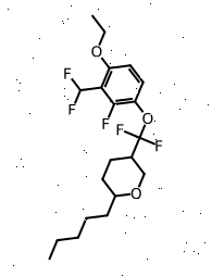 CCCCCC1CCC(C(F)(F)Oc2ccc(OCC)c(C(F)F)c2F)CO1